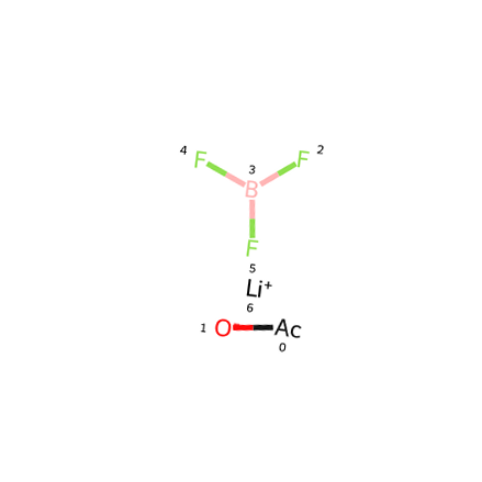 CC(=O)[O-].FB(F)F.[Li+]